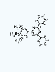 Bc1cc(-c2nc(-c3ccccc3)nc(-c3ccccc3)n2)cc(B)c1B